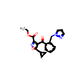 CCOC(=O)c1noc(C2CC2)c1C(=O)c1ccccc1Cn1cccn1